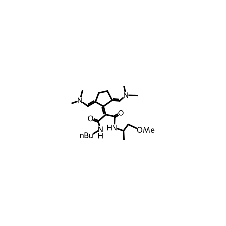 CCCCNC(=O)C(C(=O)NC(C)COC)=C1/C(=C/N(C)C)CC/C1=C\N(C)C